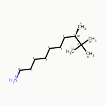 C[C@H](CCCCCCCN)C(C)(C)C